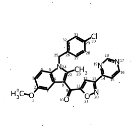 COc1ccc2c(c1)c(C(=O)c1cc(-c3ccncn3)no1)c(C)n2Cc1ccc(Cl)cc1